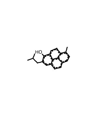 Cc1ccc2ccc3cc(CC(C)C)c(O)c4ccc1c2c34